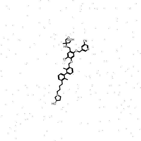 Cc1c(CCCCN2CC[C@@H](O)C2)cccc1-c1cccc(COc2cc(OCc3cncc(C#N)c3)c(CNC(C)(CO)CO)cc2Cl)c1C